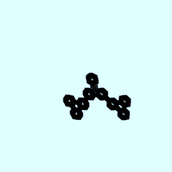 C1=CC2C(C=C1c1ccc3c4ccccc4c4ccccc4c3c1)c1cc(-c3ccc4c5ccccc5c5ccccc5c4c3)ccc1N2c1ccccc1